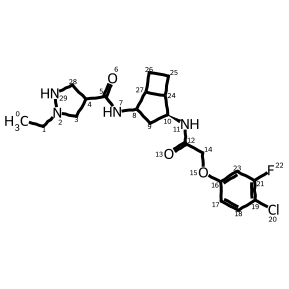 CCN1CC(C(=O)NC2C[C@H](NC(=O)COc3ccc(Cl)c(F)c3)C3CCC23)CN1